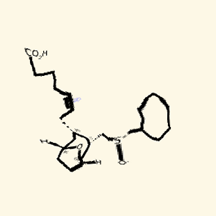 O=C(O)CCC/C=C\C[C@@H]1[C@H](C[S+]([O-])C2CCCCC2)[C@@H]2CC[C@H]1O2